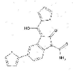 NC(=O)N1C(=O)C(=C(O)c2cccs2)c2cc(-c3cccs3)ccc21